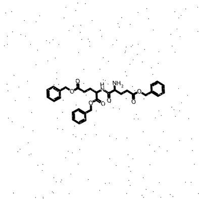 NC(CCC(=O)OCc1ccccc1)C(=O)NC(CCC(=O)OCc1ccccc1)C(=O)OCc1ccccc1